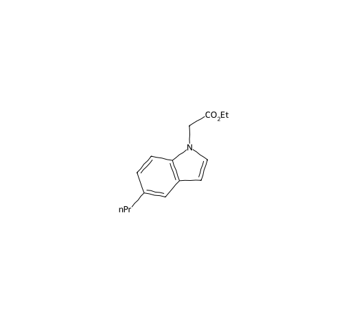 CCCc1ccc2c(ccn2CC(=O)OCC)c1